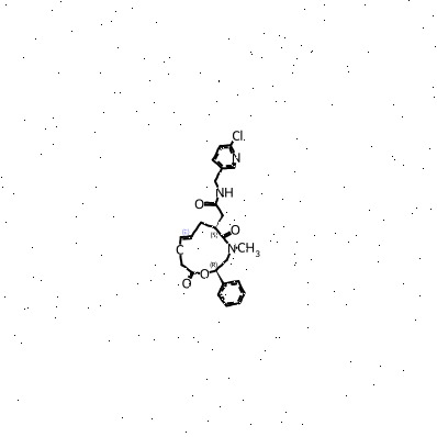 CN1C[C@@H](c2ccccc2)OC(=O)CC/C=C/C[C@@H](CC(=O)NCc2ccc(Cl)nc2)C1=O